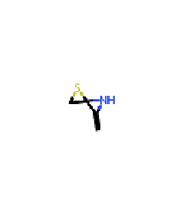 C=C1NC12CS2